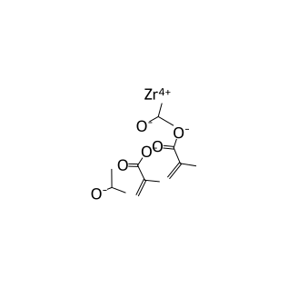 C=C(C)C(=O)[O-].C=C(C)C(=O)[O-].CC(C)[O-].CC(C)[O-].[Zr+4]